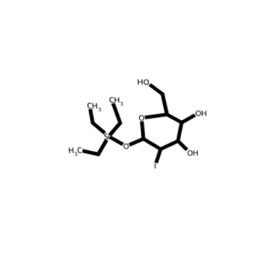 CC[Si](CC)(CC)OC1OC(CO)C(O)C(O)C1I